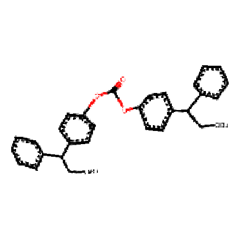 CC(C)COCC(c1ccccc1)c1ccc(OC(=O)Oc2ccc(C(COCC(C)C)c3ccccc3)cc2)cc1